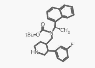 C[C@H](c1cccc2ccccc12)N(CC1CCNCC1c1cccc(F)c1)C(=O)OC(C)(C)C